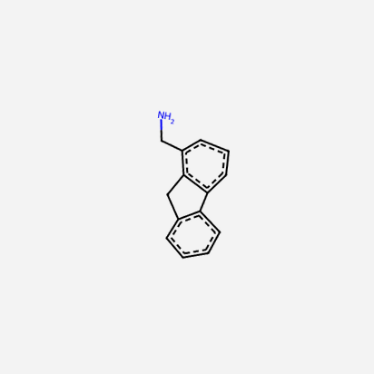 NCc1cccc2c1Cc1ccccc1-2